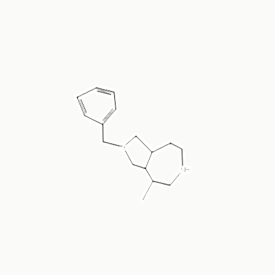 CC1CNCCC2CN(Cc3ccccc3)CC12